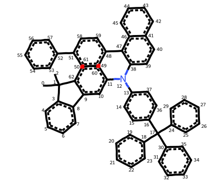 CC1(C)c2ccccc2-c2cc(N(c3ccc(C(c4ccccc4)(c4ccccc4)c4ccccc4)cc3)c3ccc4ccccc4c3-c3ccc(-c4ccccc4)cc3)ccc21